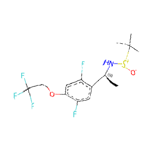 C[C@H](N[S+]([O-])C(C)(C)C)c1cc(F)c(OCC(F)(F)F)cc1F